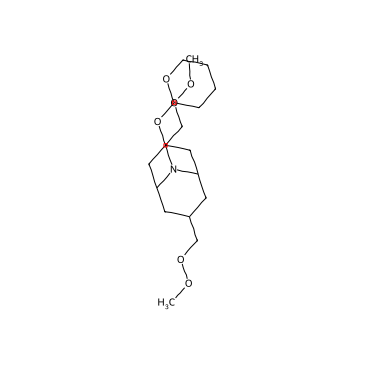 COOCCN1C2CC(COOC)CC1CC(OC1CCCCO1)C2